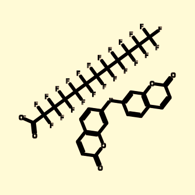 O=C([O-])C(F)(F)C(F)(F)C(F)(F)C(F)(F)C(F)(F)C(F)(F)C(F)(F)C(F)(F)C(F)(F)C(F)(F)C(F)(F)F.O=c1ccc2ccc([I+]c3ccc4ccc(=O)oc4c3)cc2o1